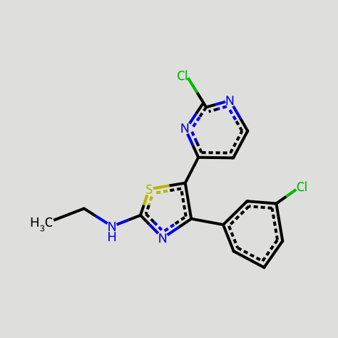 CCNc1nc(-c2cccc(Cl)c2)c(-c2ccnc(Cl)n2)s1